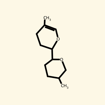 CC1=COC(C2CCC(C)CO2)CC1